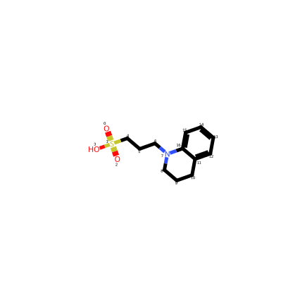 O=S(=O)(O)CCCN1CCCc2ccccc21